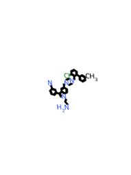 Cc1cccc(-c2cccc(Cl)c2CN2CCN(Cc3ccc4c(c3)c(-c3cccc(C#N)c3)cn4CCCN)CC2)c1